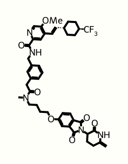 C=C1CCC(N2C(=O)c3ccc(OCCCCN(C)C(=O)Cc4cccc(CNC(=O)c5cc(/C=C/[C@H]6CC[C@H](C(F)(F)F)CC6)c(OC)cn5)c4)cc3C2=O)C(=O)N1